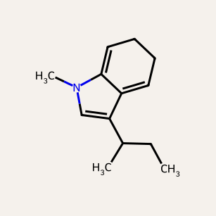 CCC(C)c1cn(C)c2c1=CCCC=2